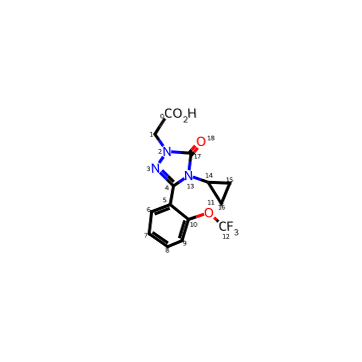 O=C(O)Cn1nc(-c2ccccc2OC(F)(F)F)n(C2CC2)c1=O